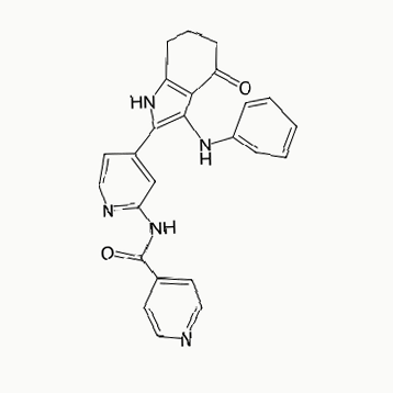 O=C(Nc1cc(-c2[nH]c3c(c2Nc2ccccc2)C(=O)CCC3)ccn1)c1ccncc1